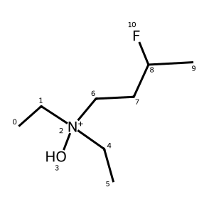 CC[N+](O)(CC)CCC(C)F